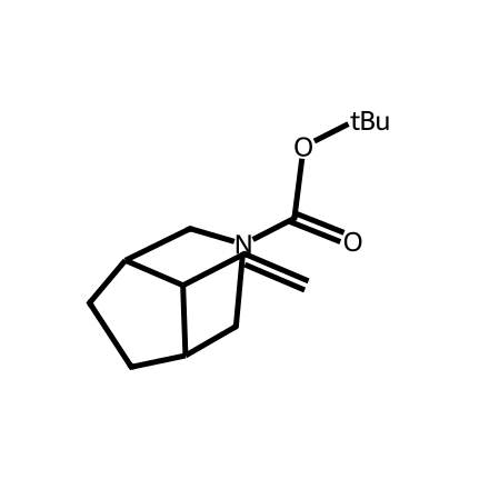 C=CC1C2CCC1CN(C(=O)OC(C)(C)C)C2